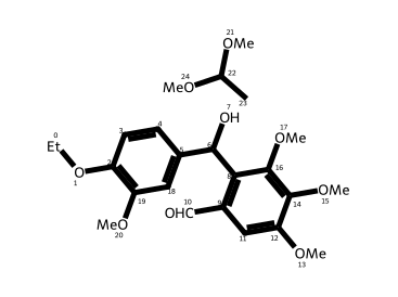 CCOc1ccc(C(O)c2c(C=O)cc(OC)c(OC)c2OC)cc1OC.COC(C)OC